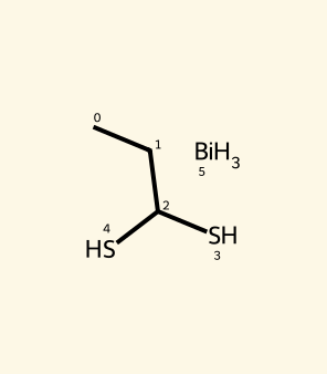 CCC(S)S.[BiH3]